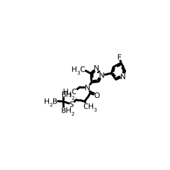 BC(B)(B)SCC(C)C(=O)N(CC)c1cn(-c2cncc(F)c2)nc1C